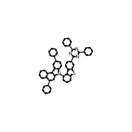 c1ccc(-c2ccc3c(c2)c2c4ccccc4c(-c4ccccc4)cc2n3-c2cccc3sc4cc(-c5nc(-c6ccccc6)nc(-c6ccccc6)n5)ccc4c23)cc1